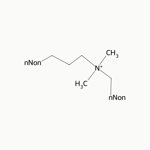 CCCCCCCCCCCC[N+](C)(C)CCCCCCCCCC